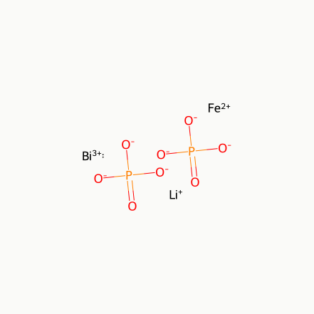 O=P([O-])([O-])[O-].O=P([O-])([O-])[O-].[Bi+3].[Fe+2].[Li+]